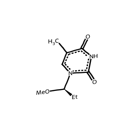 CC[C@@H](OC)n1cc(C)c(=O)[nH]c1=O